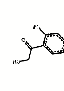 CC(C)c1ccccc1C(=O)CO